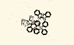 CC(C)C[SiH2]C1([SiH2]CC(C)C)c2ccccc2Oc2c1cccc2[Si](c1ccccc1)(c1ccccc1)c1cccc(-n2c3ccccc3n3c4ccccc4nc23)c1